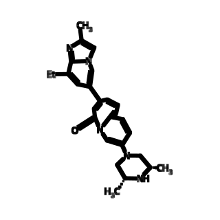 CCc1cc(C2=C\C(=O)N3C=C(N4C[C@@H](C)N[C@@H](C)C4)C=C\C3=C/C=C/2)cn2cc(C)nc12